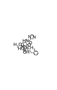 COCC(NC(=O)c1cnccn1)C(=O)NC(C)(CCCc1ccccc1)B(O)O